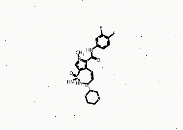 Cn1cc2c(c1C(=O)Nc1ccc(F)c(F)c1)C=C[C@H](C1CCCCC1)NS2(=N)=O